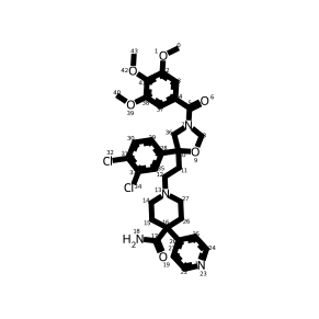 COc1cc(C(=O)N2COC(CCN3CCC(C(N)=O)(c4ccncc4)CC3)(c3ccc(Cl)c(Cl)c3)C2)cc(OC)c1OC